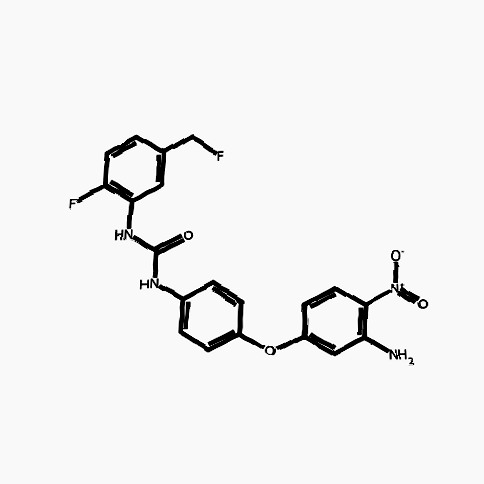 Nc1cc(Oc2ccc(NC(=O)Nc3cc(CF)ccc3F)cc2)ccc1[N+](=O)[O-]